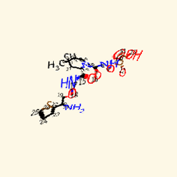 CC1(C)CCN(C(=O)NOS(=O)(=O)O)[C@H](C(=O)NOCC(N)c2cccs2)C1